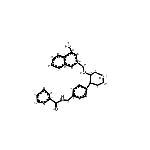 O=C(NCc1ccc(C2CCNCC2OCc2cc(O)c3ccccc3c2)cc1)c1ccccc1